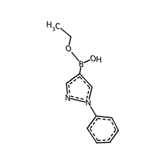 CCOB(O)c1cnn(-c2ccccc2)c1